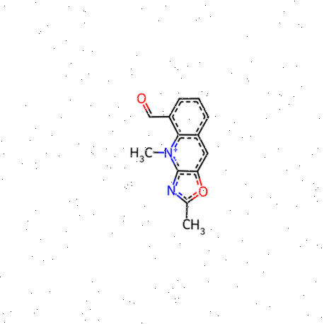 Cc1nc2c(cc3cccc(C=O)c3[n+]2C)o1